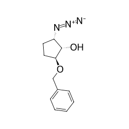 [N-]=[N+]=N[C@H]1CC[C@H](OCc2ccccc2)[C@H]1O